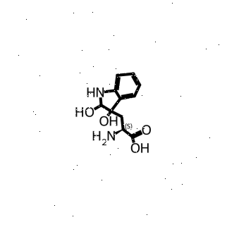 N[C@@H](CC1(O)c2ccccc2NC1O)C(=O)O